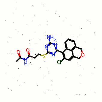 CC(=O)NC(=O)CCSc1nc(N)nc(-c2c(Cl)cc3c4c(cccc24)COC3)n1